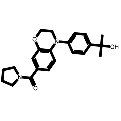 CC(C)(O)c1ccc(N2CCOc3cc(C(=O)N4CCCC4)ccc32)cc1